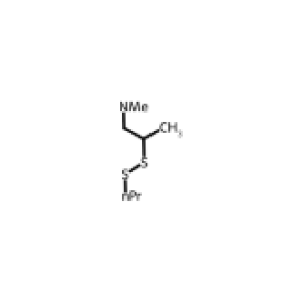 CCCSSC(C)CNC